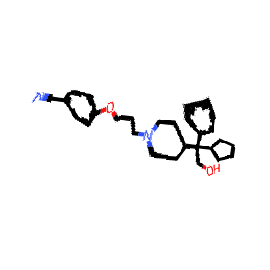 N#Cc1ccc(OCCCN2CCC(C(CO)(c3ccccc3)C3CCCC3)CC2)cc1